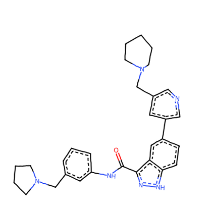 O=C(Nc1cccc(CN2CCCC2)c1)c1n[nH]c2ccc(-c3cncc(CN4CCCCC4)c3)cc12